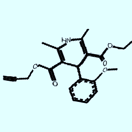 C#CCOC(=O)C1=C(C)NC(C)=C(C(=O)OCC)C1c1ccccc1OC